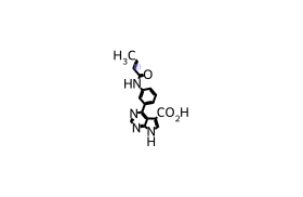 C/C=C/C(=O)Nc1cccc(-c2ncnc3[nH]cc(C(=O)O)c23)c1